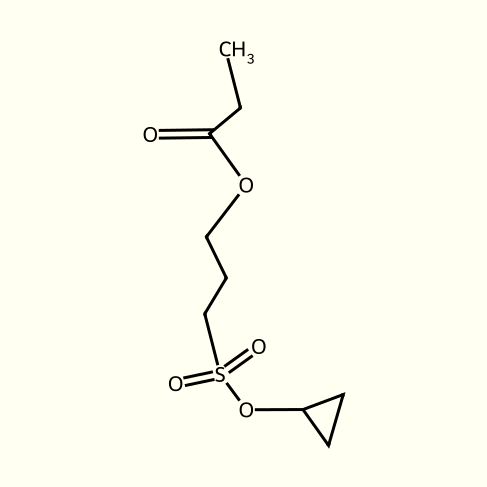 CCC(=O)OCCCS(=O)(=O)OC1CC1